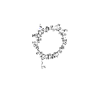 C/C=C/C[C@@H](C)[C@@H](O)[C@@H]1C(=O)N[C@@H](CC)C(=O)N(C)CC(=O)N(C)[C@@H]([C@@H](C)OCCCC#N)C(=O)N[C@@H](C(C)C)C(=O)N(C)[C@@H](CC(C)C)C(=O)N[C@@H](C)C(=O)N[C@H](C)C(=O)N(C)[C@@H](CC(C)C)C(=O)N(C)[C@@H](CC(C)C)C(=O)N(C)[C@H](C(C)C)C(=O)N1C